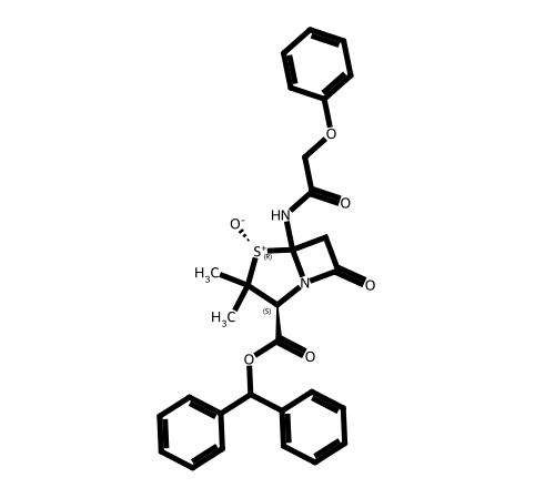 CC1(C)[C@H](C(=O)OC(c2ccccc2)c2ccccc2)N2C(=O)CC2(NC(=O)COc2ccccc2)[S@@+]1[O-]